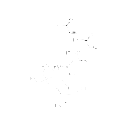 C=CC(=O)O.C=CC(=O)O.C=CC(=O)O.CCC(=O)O.OCC(CO)(CO)COCC(CO)(CO)CO